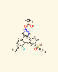 CC(=O)On1cc(-c2ccc(C)c(F)c2)c(-c2ccc(S(C)(=O)=O)cc2)n1